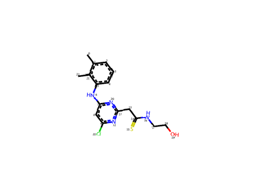 Cc1cccc(Nc2cc(Cl)nc(CC(=S)NCCO)n2)c1C